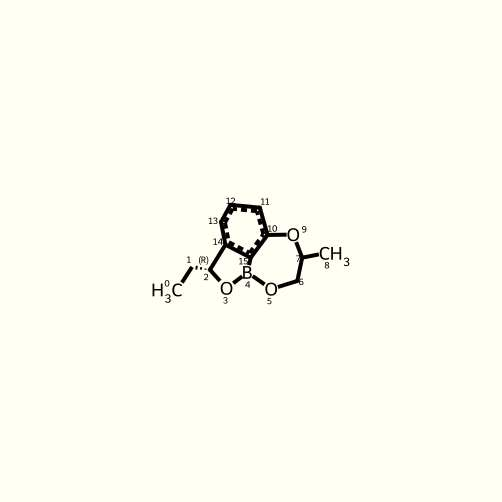 CC[C@H]1OB2OCC(C)Oc3cccc1c32